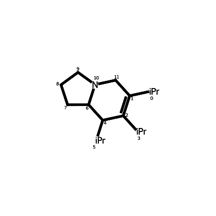 CC(C)C1=C(C(C)C)C(C(C)C)C2CCCN2C1